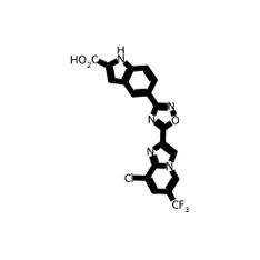 O=C(O)c1cc2cc(-c3noc(-c4cn5cc(C(F)(F)F)cc(Cl)c5n4)n3)ccc2[nH]1